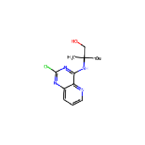 CCCCC(C)(CO)Nc1nc(Cl)nc2cccnc12